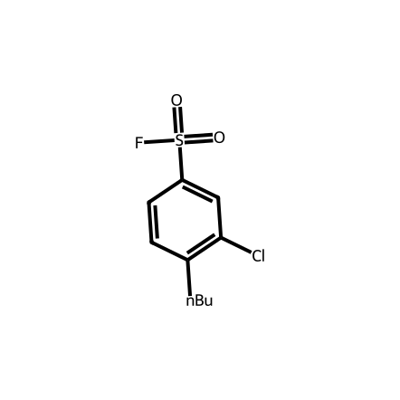 [CH2]CCCc1ccc(S(=O)(=O)F)cc1Cl